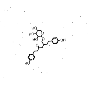 O=C(CCc1ccc(O)cc1)CC(CCc1ccc(O)cc1)COC1OCC(O)C(O)C1O